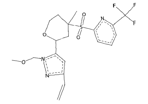 C=Cc1cc(C2CC(C)(S(=O)(=O)c3cccc(C(F)(F)F)n3)CCO2)n(COC)n1